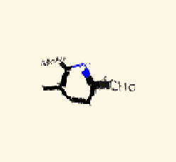 CNc1nc(C=O)ccc1C